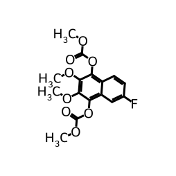 COC(=O)Oc1c(OC)c(OC)c(OC(=O)OC)c2cc(F)ccc12